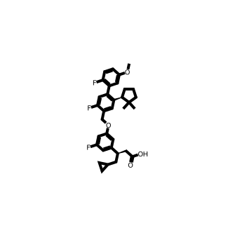 COc1ccc(F)c(-c2cc(F)c(COc3cc(F)cc([C@@H](CC(=O)O)CC4CC4)c3)cc2[C@H]2CCCC2(C)C)c1